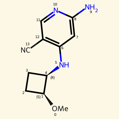 CO[C@H]1CC[C@H]1Nc1cc(N)ncc1C#N